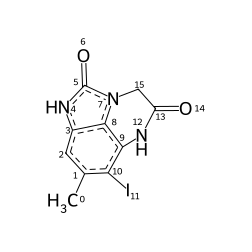 Cc1cc2[nH]c(=O)n3c2c(c1I)NC(=O)C3